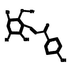 CCc1cc(CC)c(OC(C)C)c(/C=C/C(=O)c2ccc(O)cc2)c1O